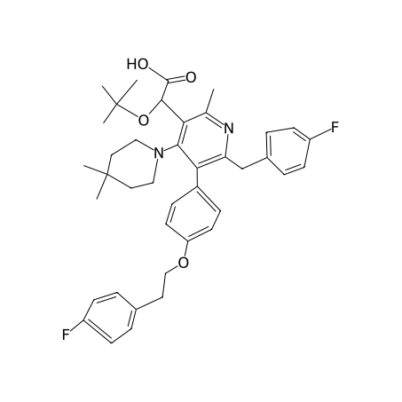 Cc1nc(Cc2ccc(F)cc2)c(-c2ccc(OCCc3ccc(F)cc3)cc2)c(N2CCC(C)(C)CC2)c1C(OC(C)(C)C)C(=O)O